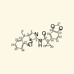 CC(c1cnc(NC(=O)C2(c3ccc4c(c3)OCO4)CC2)s1)c1ccccc1Cl